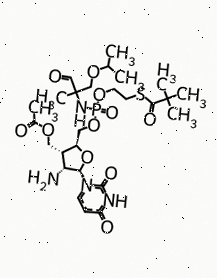 CC(=O)OC[C@H]1[C@@H](N)[C@H](n2ccc(=O)[nH]c2=O)O[C@@H]1COP(=O)(NC(C)(C=O)COC(C)C)OCCSC(=O)C(C)(C)C